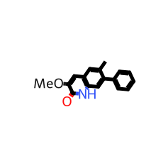 COc1cc2cc(C)c(-c3ccccc3)cc2[nH]c1=O